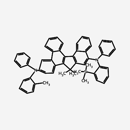 Cc1ccccc1N(c1ccccc1)c1ccc2c3c(c4ccccc4c2c1)-c1c(cc(N(c2ccccc2)c2ccccc2[Si](C)(C)C)c2ccccc12)C3(C)C